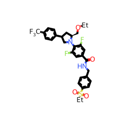 CCOC[C@@H]1CC(c2ccc(C(F)(F)F)cc2)CN1c1c(F)cc(C(=O)NCc2ccc(S(=O)(=O)CC)cc2)cc1F